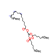 CCCCC/C=C\C/C=C\C/C=C\CCCCCCC(=O)OC[C@H](COC(=O)CCCCCCCCCCCCCC)OC(=O)CCCCCCCCCCCCCC